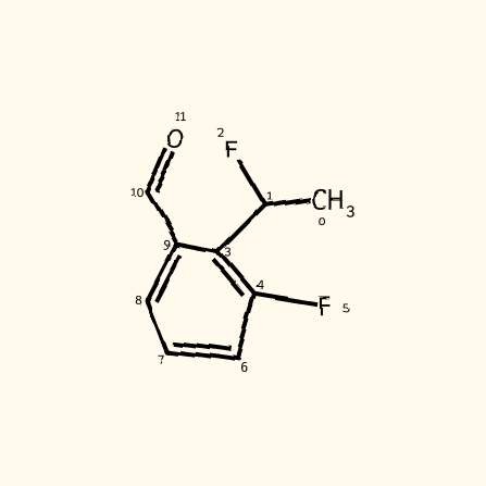 CC(F)c1c(F)cccc1C=O